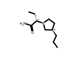 CCC[C@@H]1CCN([C@@H](CC)C(N)=O)C1